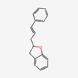 C(=Cc1ccccc1)CC1Cc2ccccc2O1